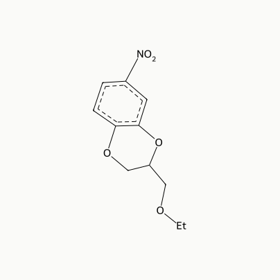 CCOCC1COc2ccc([N+](=O)[O-])cc2O1